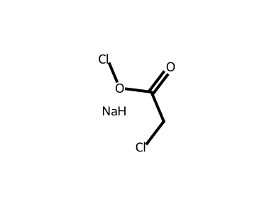 O=C(CCl)OCl.[NaH]